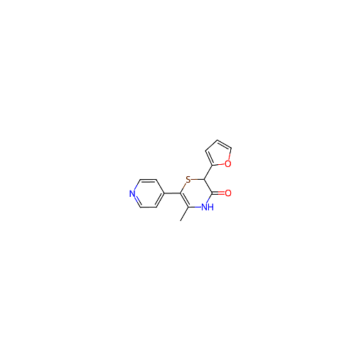 CC1=C(c2ccncc2)SC(c2ccco2)C(=O)N1